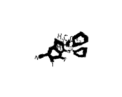 CC(C)(C)[Si](OC1CCc2cc(C#N)c(I)c(F)c21)(c1ccccc1)c1ccccc1